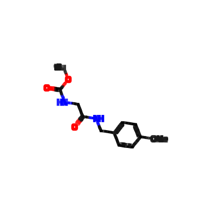 COc1ccc(CNC(=O)CNC(=O)OC(C)(C)C)cc1